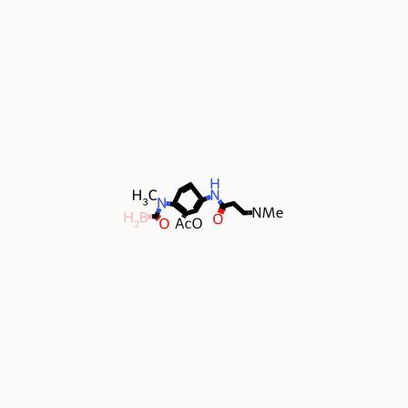 BC(=O)N(C)c1ccc(NC(=O)CCNC)cc1OC(C)=O